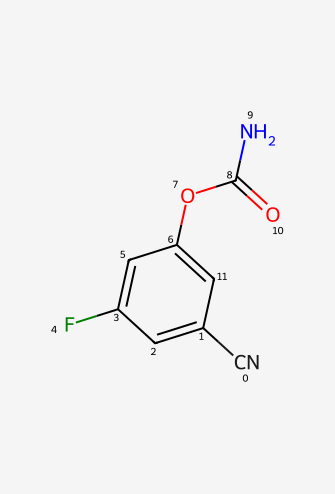 N#Cc1cc(F)cc(OC(N)=O)c1